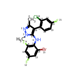 Cc1nn(C)c(Nc2c(F)cc(F)cc2Br)c1-c1ccc(F)cc1Cl